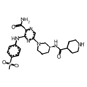 CS(=O)(=O)c1ccc(Nc2nc(N3CCC[C@H](NC(=O)C4CCNCC4)C3)cnc2C(N)=O)cc1